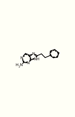 Nc1ncc2nc(CCc3ccccc3)[nH]c2n1